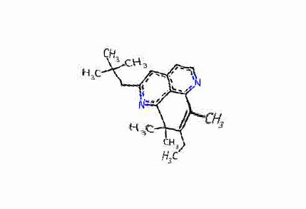 CCC1=C(C)c2nccc3cc(CC(C)(C)C)nc(c23)C1(C)C